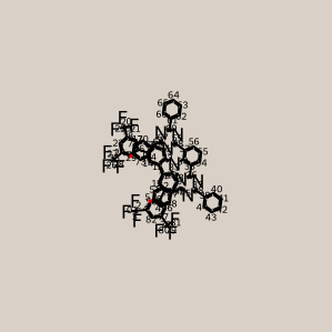 FC(F)(F)c1cc(-c2ccc3c(c2)c2cc(-c4cc(C(F)(F)F)cc(C(F)(F)F)c4)ccc2n3-c2c(-c3nc(-c4ccccc4)nc(-c4ccccc4)n3)cccc2-c2nc(-c3ccccc3)nc(-c3ccccc3)n2)cc(C(F)(F)F)c1